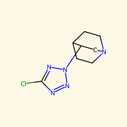 Clc1nnn(C2CN3CCC2CC3)n1